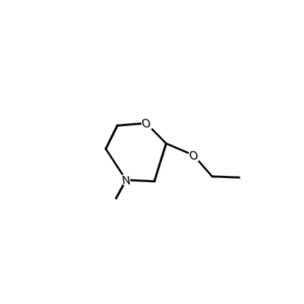 CCOC1CN(C)CCO1